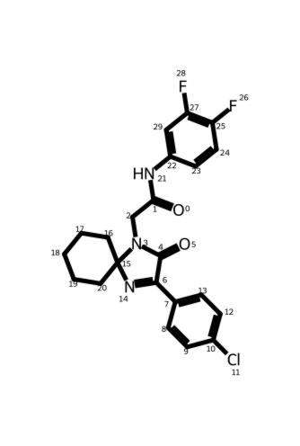 O=C(CN1C(=O)C(c2ccc(Cl)cc2)=NC12CCCCC2)Nc1ccc(F)c(F)c1